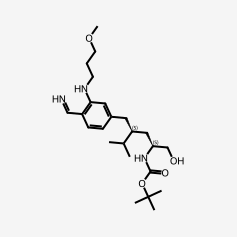 COCCCNc1cc(C[C@@H](C[C@@H](CO)NC(=O)OC(C)(C)C)C(C)C)ccc1C=N